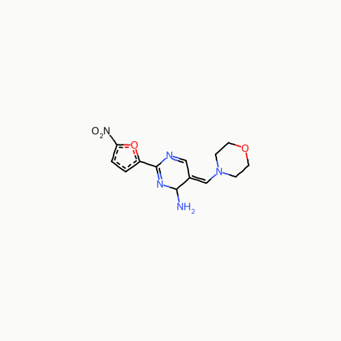 NC1N=C(c2ccc([N+](=O)[O-])o2)N=CC1=CN1CCOCC1